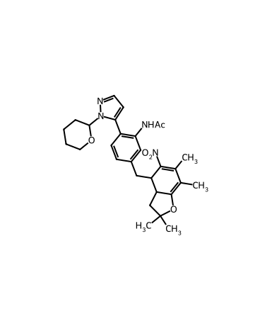 CC(=O)Nc1cc(CC2C([N+](=O)[O-])=C(C)C(C)=C3OC(C)(C)CC32)ccc1-c1ccnn1C1CCCCO1